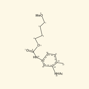 COCCCCOC(=O)Nc1ccc(C)c(NC(C)=O)c1